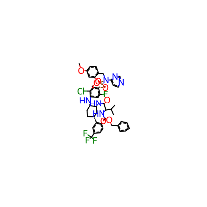 COc1ccc(CN(c2ccncn2)S(=O)(=O)c2cc(Cl)c(N[C@H]3CC[C@H](c4cccc(C(F)(F)F)c4)C[C@@H]3NC(=O)C(NC(=O)OCc3ccccc3)C(C)C)cc2F)c(OC)c1